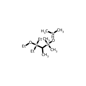 CCO[Si](CC)(CC)C(C)[Si](C)(C)O[SiH](C)C